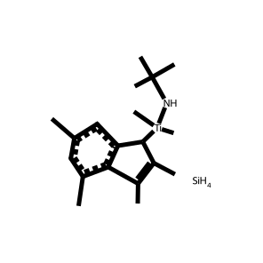 CC1=C(C)[CH]([Ti]([CH3])([CH3])[NH]C(C)(C)C)c2cc(C)cc(C)c21.[SiH4]